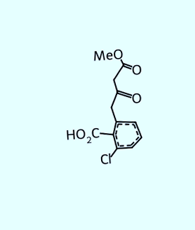 COC(=O)CC(=O)Cc1cccc(Cl)c1C(=O)O